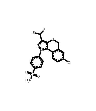 NS(=O)(=O)c1ccc(-n2nc(C(F)F)c3c2-c2ccc(Cl)cc2CS3)cc1